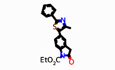 CCOC(=O)N1C(=O)Cc2cc(-c3sc(-c4ccccc4)nc3C)ccc21